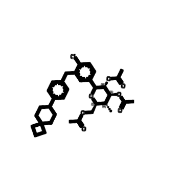 CC(=O)OC[C@H]1OC(c2ccc(Cl)c(Cc3ccc(C4CCC5(CCC5)CC4)cc3)c2)[C@H](OC(C)=O)[C@@H](OC(C)=O)[C@@H]1C